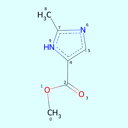 COC(=O)c1[c]nc(C)[nH]1